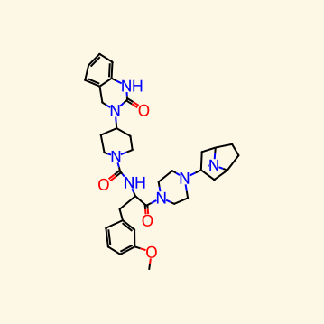 COc1cccc(CC(NC(=O)N2CCC(N3Cc4ccccc4NC3=O)CC2)C(=O)N2CCN(C3CC4CCC(C3)N4C)CC2)c1